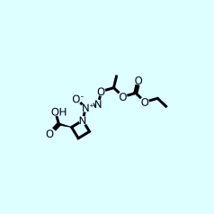 CCOC(=O)OC(C)ON=[N+]([O-])N1CC[C@H]1C(=O)O